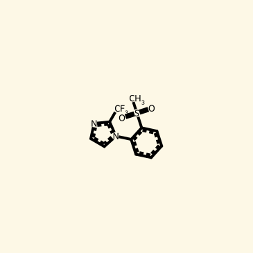 CS(=O)(=O)c1ccccc1-n1ccnc1C(F)(F)F